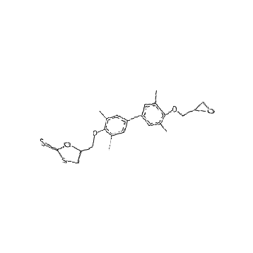 Cc1cc(-c2cc(C)c(OCC3CSC(=S)O3)c(C)c2)cc(C)c1OCC1CO1